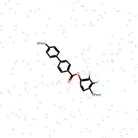 CCCCCc1ccc(-c2ccc(C(=O)Oc3ccc(CCCCC)c(F)c3F)cc2)cc1